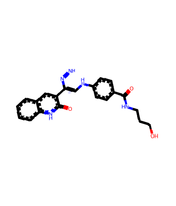 N=N/C(=C\Nc1ccc(C(=O)NCCCO)cc1)c1cc2ccccc2[nH]c1=O